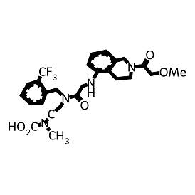 COCC(=O)N1CCc2c(cccc2NCC(=O)N(CCN(C)C(=O)O)Cc2ccccc2C(F)(F)F)C1